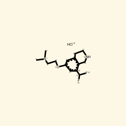 CN(C)CCOc1cc2c(c(C(F)F)c1)CNCC2.Cl